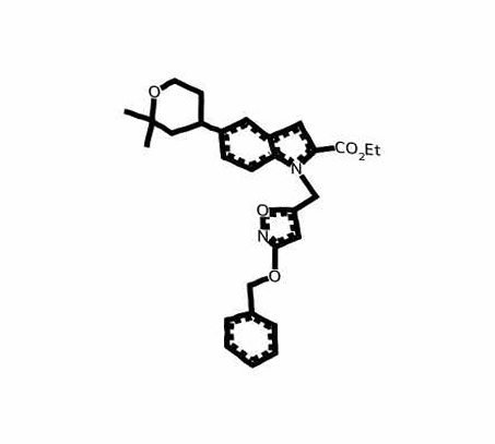 CCOC(=O)c1cc2cc(C3CCOC(C)(C)C3)ccc2n1Cc1cc(OCc2ccccc2)no1